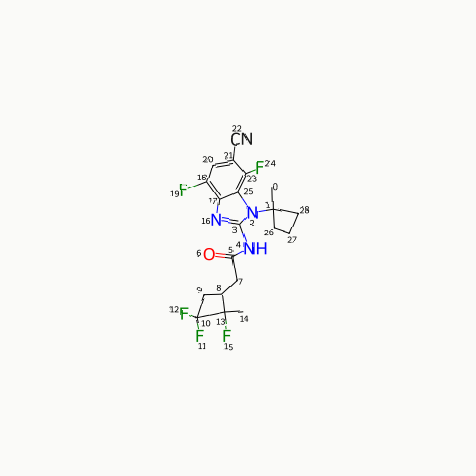 CC1(n2c(NC(=O)CC3CC(F)(F)C3(C)F)nc3c(F)cc(C#N)c(F)c32)CCC1